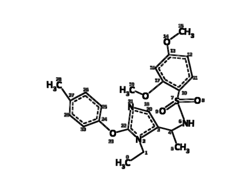 CCn1c(C(C)NS(=O)(=O)c2ccc(OC)cc2OC)cnc1Oc1ccc(C)cc1